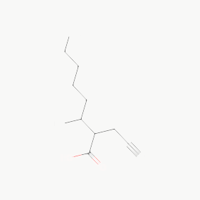 C#CCC(C(=O)O)C(C)CCCCC